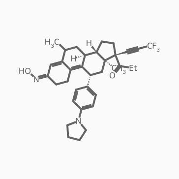 CCC(=O)[C@@]1(C#CC(F)(F)F)CC[C@H]2[C@@H]3CC(C)C4=CC(=NO)CCC4=C3[C@@H](c3ccc(N4CCCC4)cc3)C[C@@]21C